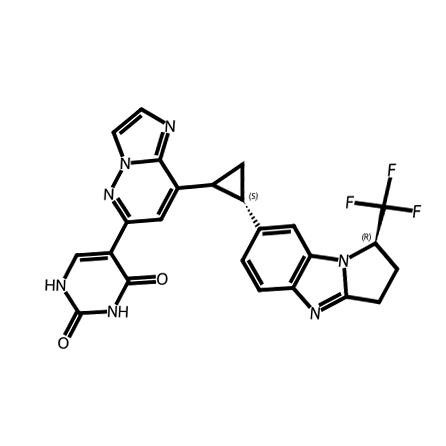 O=c1[nH]cc(-c2cc(C3C[C@@H]3c3ccc4nc5n(c4c3)[C@@H](C(F)(F)F)CC5)c3nccn3n2)c(=O)[nH]1